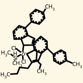 CCCCC1=Cc2c(-c3ccc(C)cc3)cccc2[CH]1[Zr]([Cl])([Cl])([CH]1C(CCCC)=Cc2c(-c3ccc(C)cc3)cccc21)[SiH](C)C